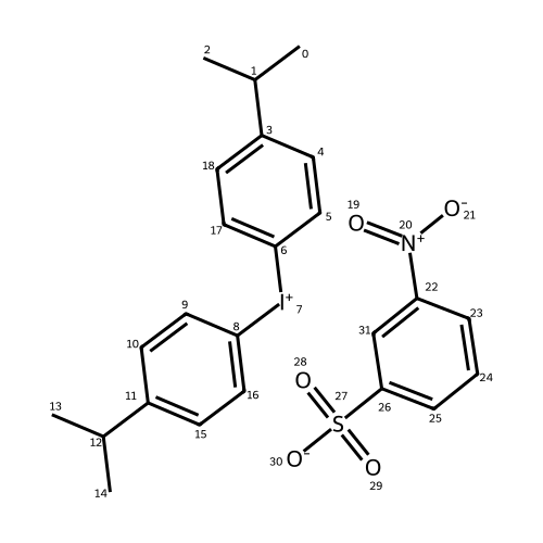 CC(C)c1ccc([I+]c2ccc(C(C)C)cc2)cc1.O=[N+]([O-])c1cccc(S(=O)(=O)[O-])c1